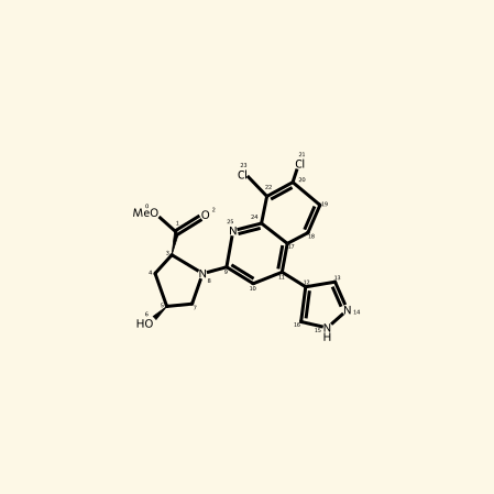 COC(=O)[C@@H]1C[C@H](O)CN1c1cc(-c2cn[nH]c2)c2ccc(Cl)c(Cl)c2n1